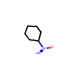 N=[N+]([O-])C1CCCCC1